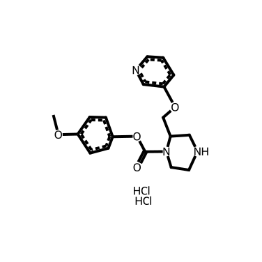 COc1ccc(OC(=O)N2CCNCC2COc2cccnc2)cc1.Cl.Cl